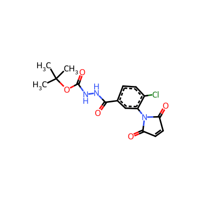 CC(C)(C)OC(=O)NNC(=O)c1ccc(Cl)c(N2C(=O)C=CC2=O)c1